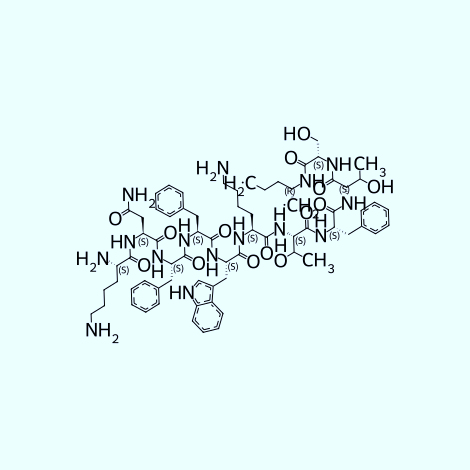 [CH2]CC[C@@H]([CH2])NC(=O)[C@H](CO)NC(=O)[C@@H](NC(=O)[C@H](Cc1ccccc1)NC(=O)[C@@H](NC(=O)[C@H](CCCCN)NC(=O)[C@H](Cc1c[nH]c2ccccc12)NC(=O)[C@H](Cc1ccccc1)NC(=O)[C@H](Cc1ccccc1)NC(=O)[C@H](CC(N)=O)NC(=O)[C@@H](N)CCCCN)C(C)O)C(C)O